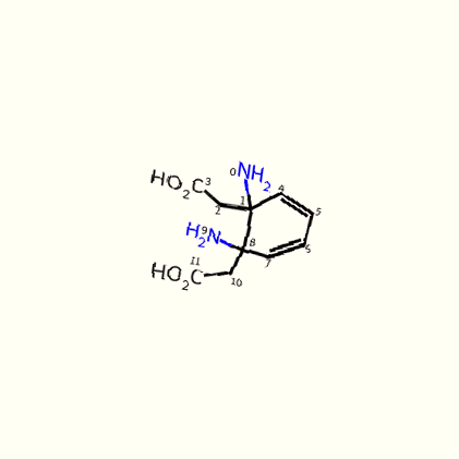 NC1(CC(=O)O)C=CC=CC1(N)CC(=O)O